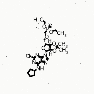 CCOP(=O)(COC[C@H]1O[C@@H](n2cnc3c(NC4CCCC4)nc(Cl)nc32)[C@@H]2OC(C)(C)O[C@@H]21)OCC